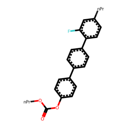 CCCOC(=O)Oc1ccc(-c2ccc(-c3ccc(CCC)cc3F)cc2)cc1